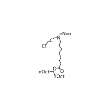 CCCCCCCCCN(CCCCl)CCCCCCCC(=O)OC(CCCCCCCC)CCCCCCCC